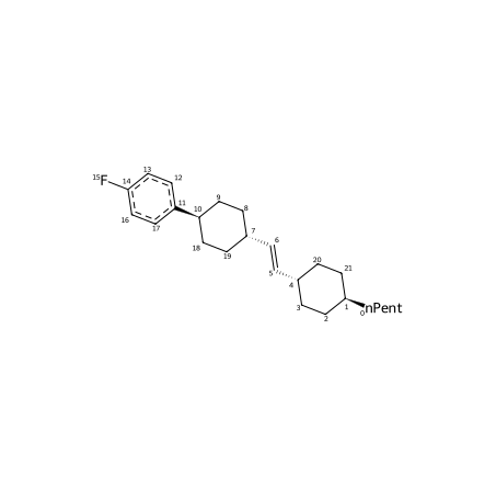 CCCCC[C@H]1CC[C@H](C=C[C@H]2CC[C@H](c3ccc(F)cc3)CC2)CC1